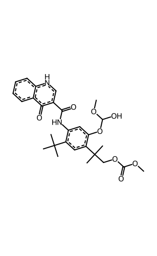 COC(=O)OCC(C)(C)c1cc(C(C)(C)C)c(NC(=O)c2c[nH]c3ccccc3c2=O)cc1OC(O)OC